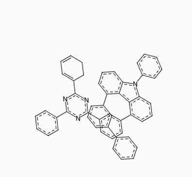 C1=CCCC(c2nc(-c3ccccc3)nc(-c3cccc(-c4cccc5c4c4c(-c6cccc(-c7ccccc7)c6)cccc4n5-c4ccccc4)c3)n2)=C1